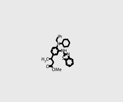 COC(=O)CC(C)c1ccc(N(CC(C)C)C2CCCCC2)c(Nc2nc3ccccc3s2)c1